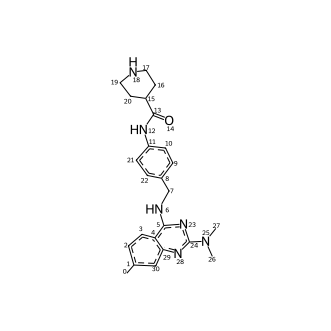 Cc1ccc2c(NCc3ccc(NC(=O)C4CCNCC4)cc3)nc(N(C)C)nc2c1